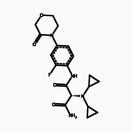 NC(=O)[C@H](C(=O)Nc1ccc(N2CCOCC2=O)cc1F)N(C1CC1)C1CC1